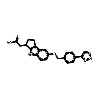 O=C(O)CC1CCc2c1[nH]c1ccc(OCc3ccc(-c4csnn4)cc3)cc21